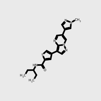 CCC(CC)NC(=O)c1cc(-c2cnn3cc(-c4cnn(C)c4)cnc23)cs1